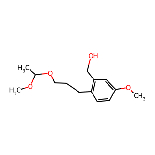 COc1ccc(CCCOC(C)OC)c(CO)c1